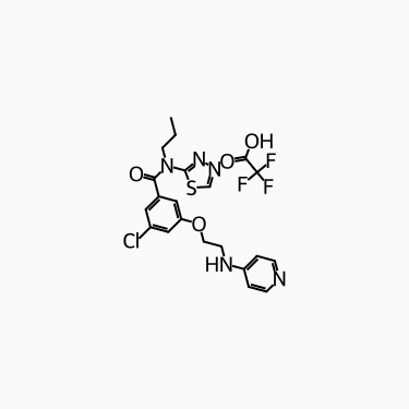 CCCN(C(=O)c1cc(Cl)cc(OCCNc2ccncc2)c1)c1nncs1.O=C(O)C(F)(F)F